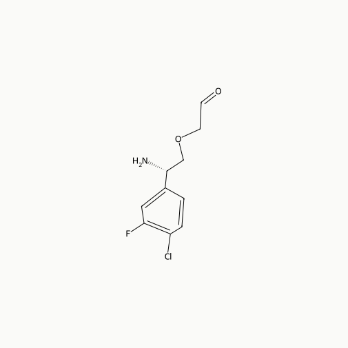 N[C@H](COCC=O)c1ccc(Cl)c(F)c1